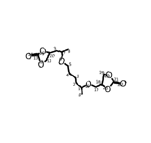 CC(CCCCOC(C)CC1COC(=O)O1)OCC1COC(=O)O1